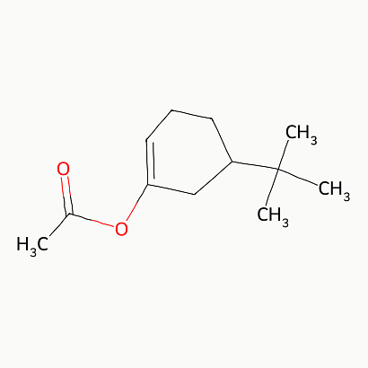 CC(=O)OC1=CCCC(C(C)(C)C)C1